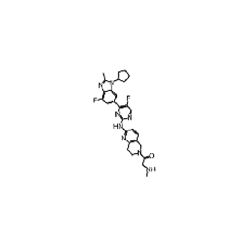 CNCC(=O)N1CCc2nc(Nc3ncc(F)c(-c4cc(F)c5nc(C)n(C6CCCC6)c5c4)n3)ccc2C1